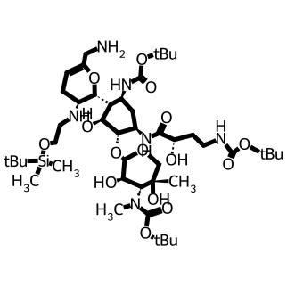 CN(C(=O)OC(C)(C)C)[C@@H]1[C@@H](O)[C@@H](O[C@H]2[C@H](NC(=O)[C@@H](O)CCNC(=O)OC(C)(C)C)C[C@H](NC(=O)OC(C)(C)C)C([C@H]3OC(CN)=CC[C@H]3NCCO[Si](C)(C)C(C)(C)C)[C@@H]2O)OC[C@]1(C)O